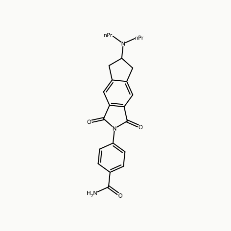 CCCN(CCC)C1Cc2cc3c(cc2C1)C(=O)N(c1ccc(C(N)=O)cc1)C3=O